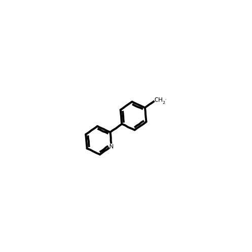 [CH2]c1ccc(-c2ccccn2)cc1